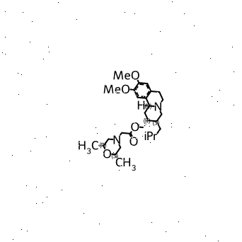 COc1cc2c(cc1OC)[C@H]1C[C@@H](COC(=O)CN3C[C@@H](C)O[C@@H](C)C3)[C@H](CC(C)C)CN1CC2